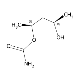 C[C@@H](O)C[C@H](C)OC(N)=O